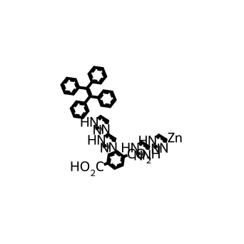 O=C(O)c1ccc(C(=O)O)cc1.[Zn].c1c[nH]nn1.c1c[nH]nn1.c1c[nH]nn1.c1c[nH]nn1.c1ccc(C(=C(c2ccccc2)c2ccccc2)c2ccccc2)cc1